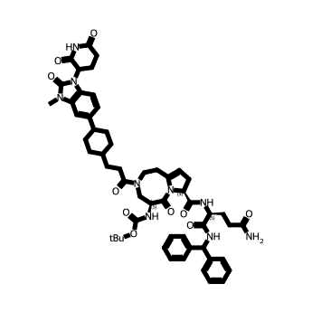 Cn1c(=O)n(C2CCC(=O)NC2=O)c2ccc(C3CCC(CCC(=O)N4CCC5=CC[C@@H](C(=O)N[C@@H](CCC(N)=O)C(=O)NC(c6ccccc6)c6ccccc6)N5C(=O)[C@@H](NC(=O)OC(C)(C)C)C4)CC3)cc21